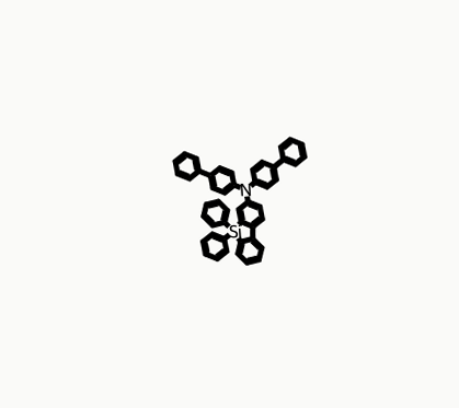 c1ccc(-c2ccc(N(c3ccc(-c4ccccc4)cc3)c3ccc4c(c3)[Si](c3ccccc3)(c3ccccc3)c3ccccc3-4)cc2)cc1